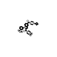 CS(=O)(=O)c1cccc(-n2c(C(=O)N3CCS(=O)(=O)CC3)cc3cc(C(=O)N4CCN(C5CCC5)CC4)ccc32)c1